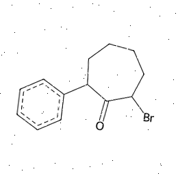 O=C1C(Br)CCCCC1c1ccccc1